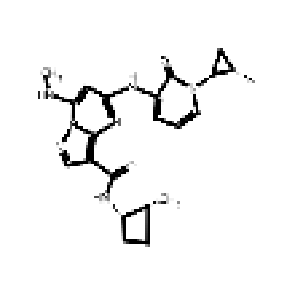 CNc1cc(Nc2cccn([C@H]3C[C@@H]3F)c2=O)nc2c(C(=O)N[C@H]3CC[C@H]3C)cnn12